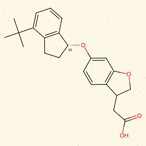 CC(C)(C)c1cccc2c1CC[C@H]2Oc1ccc2c(c1)OCC2CC(=O)O